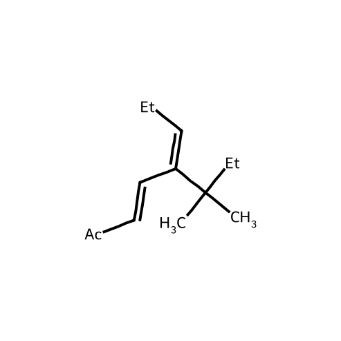 CC/C=C(\C=C\C(C)=O)C(C)(C)CC